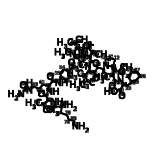 CC[C@H](C)[C@@H]([C@@H](CC(=O)N1CCC[C@H]1[C@H](OC)[C@@H](C)C(=O)N[C@@H](Cc1ccccc1)C(=O)O)OC)N(C)C(=O)[C@@H](NC(=O)[C@H](C(C)C)N(C)C(=O)OCc1ccc(NC(=O)C(CCCNC(N)=O)NC(=O)[C@@H](NC(=O)C(N)CCCCN)C(C)C)cc1)C(C)C